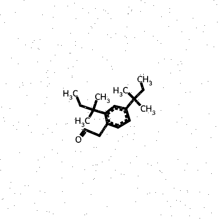 CCC(C)(C)c1ccc(C[C]=O)c(C(C)(C)CC)c1